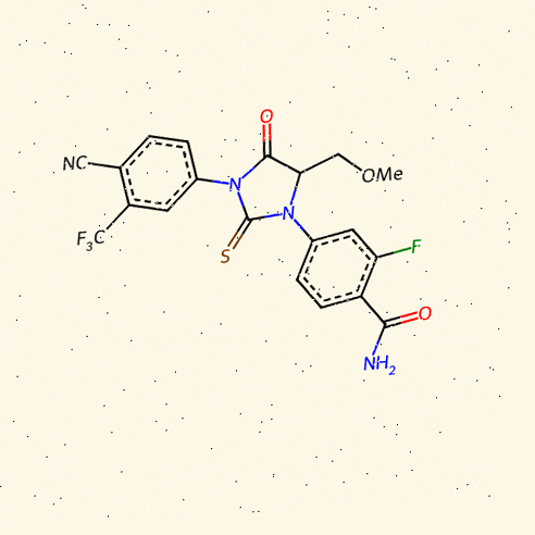 COCC1C(=O)N(c2ccc(C#N)c(C(F)(F)F)c2)C(=S)N1c1ccc(C(N)=O)c(F)c1